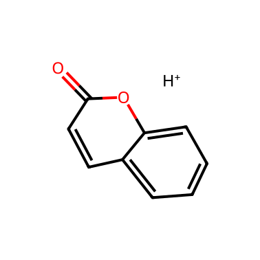 O=c1ccc2ccccc2o1.[H+]